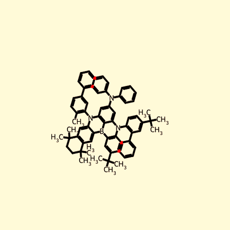 Cc1ccc(-c2ccccc2)cc1N1c2cc3c(cc2B2c4cc(C(C)(C)C)ccc4N(c4ccc(C(C)(C)C)cc4-c4ccccc4)c4cc(N(c5ccccc5)c5ccccc5)cc1c42)C(C)(C)CCC3(C)C